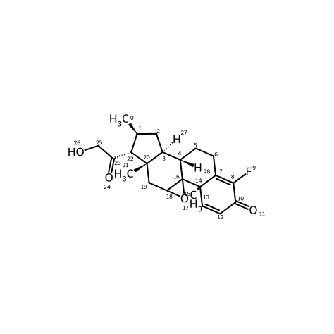 C[C@H]1C[C@H]2[C@@H]3CCC4=C(F)C(=O)C=C[C@]4(C)C34OC4C[C@]2(C)[C@@H]1C(=O)CO